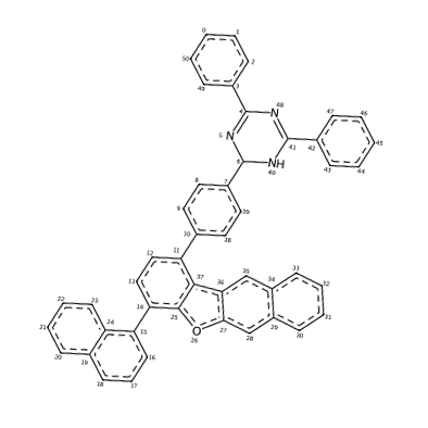 c1ccc(C2=NC(c3ccc(-c4ccc(-c5cccc6ccccc56)c5oc6cc7ccccc7cc6c45)cc3)NC(c3ccccc3)=N2)cc1